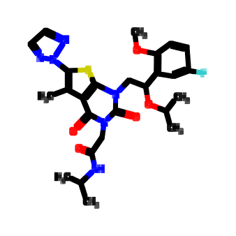 COc1ccc(F)cc1C(Cn1c(=O)n(CC(=O)NC(C)C)c(=O)c2c(C)c(-n3nccn3)sc21)OC(C)C